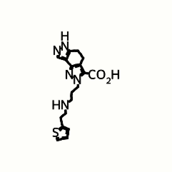 O=C(O)c1c2c(nn1CCCNCCc1cccs1)-c1cn[nH]c1CC2